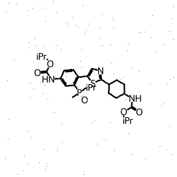 CC(C)OC(=O)Nc1ccc(-c2cnc(C3CCC(NC(=O)OC(C)C)CC3)s2)c(P(C)(=O)C(C)C)c1